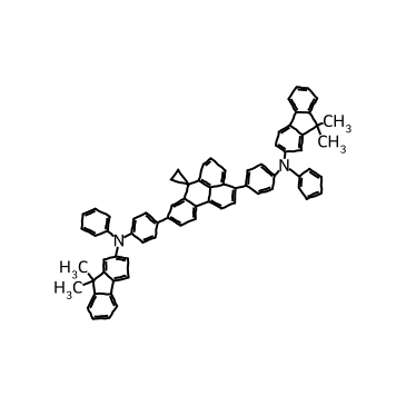 CC1(C)c2ccccc2-c2ccc(N(c3ccccc3)c3ccc(-c4ccc5c(c4)C4(CC4)c4cccc6c(-c7ccc(N(c8ccccc8)c8ccc9c(c8)C(C)(C)c8ccccc8-9)cc7)ccc-5c46)cc3)cc21